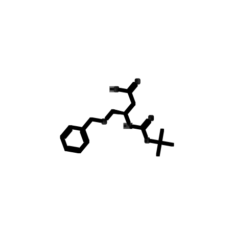 CC(C)(C)OC(=O)N[C@@H](COCc1ccccc1)CC(=O)O